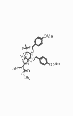 CCCN(C(=O)OC(C)(C)C)C1=N[C@@H]2[C@@H](OCc3ccc(OC)cc3)[C@H](OCc3ccc(OC)cc3)[C@@H](C(C)(F)F)O[C@@H]2S1